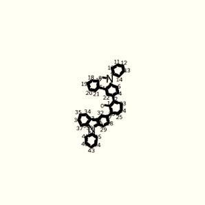 Cc1c(-c2ccc(N(C)c3ccccc3)c(-c3ccccc3)c2)cccc1-c1ccc2c(c1)c1ccccc1n2-c1ccccc1